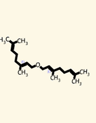 CC(C)=CCC/C(C)=C/COC/C=C(\C)CCC=C(C)C